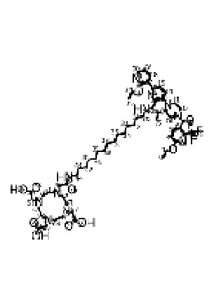 CCOc1ccc(C(=O)N2CCN(c3ccc(-c4cccnc4OCC)nc3CNCCCCCCCCCCCCCCCNC(=O)CN3CCN(CC(=O)O)CCN(CC(=O)O)CCN(CC(=O)O)CC3)[C@H](CC)C2)c(C(F)(F)F)n1